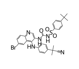 CC(C)(C)c1ccc(S(=O)(=O)NC(=O)Nc2cnc3ccc(Br)cc3c2Nc2ccc(C(C)(C)C#N)cc2)cc1